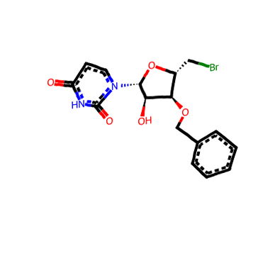 O=c1ccn([C@@H]2O[C@H](CBr)[C@@H](OCc3ccccc3)[C@H]2O)c(=O)[nH]1